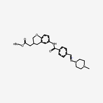 CCCCOC(=O)CC1COc2ccc(NC(=O)c3ccc(/C=N/N4CCN(C)CC4)cc3)cc2C1